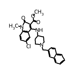 COC(=O)c1c(NC2CCN(Cc3ccc4ccccc4c3)CC2)c2cc(Cl)ccc2n(C)c1=O